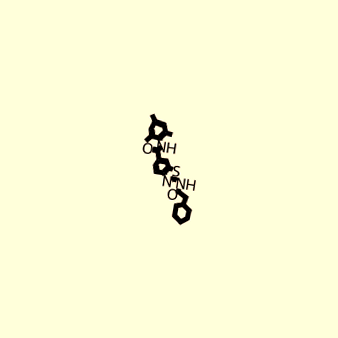 Cc1cc(C)c(NC(=O)c2ccc3nc(NC(=O)CC4CCCCC4)sc3c2)c(C)c1